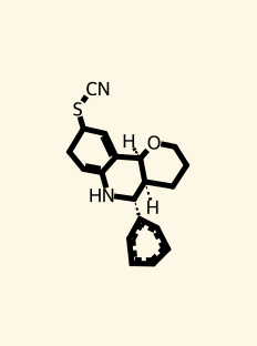 N#CSC1C=C2C(=CC1)N[C@@H](c1ccccc1)[C@@H]1CCCO[C@H]21